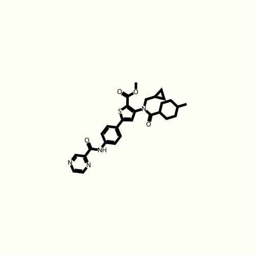 COC(=O)c1sc(-c2ccc(NC(=O)c3cnccn3)cc2)cc1N(CC1CC1)C(=O)C1CCC(C)CC1